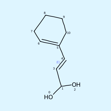 OC(O)/C=C/C1=CCCCC1